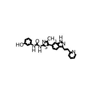 Cc1nc(NC(=O)Nc2cccc(O)c2)sc1-c1ccc2c(/C=C/c3ccccn3)n[nH]c2c1